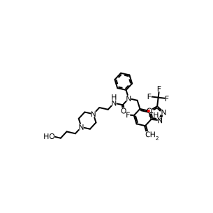 C=C(/C=C(F)\C(=C/C)CN(C(=O)NCCN1CCN(CCCO)CC1)c1ccccc1)c1nnc(C(F)(F)F)o1